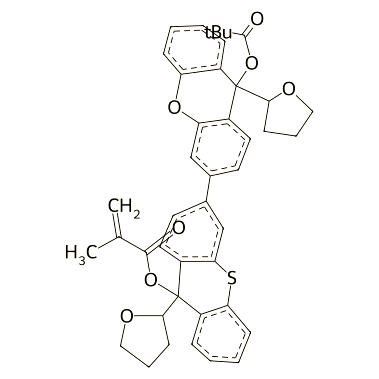 C=C(C)C(=O)OC1(C2CCCO2)c2ccccc2Sc2cc(-c3ccc4c(c3)Oc3ccccc3C4(OC(=O)C(C)(C)C)C3CCCO3)ccc21